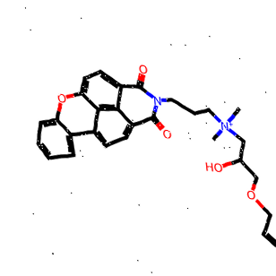 C=CCOCC(O)C[N+](C)(C)CCCn1c(=O)c2ccc3oc4ccccc4c4ccc(c1=O)c2c34